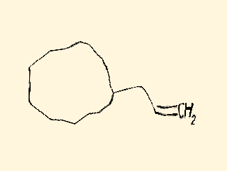 C=CCC1CCCCCCCC1